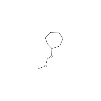 COCOC1CCCCCC1